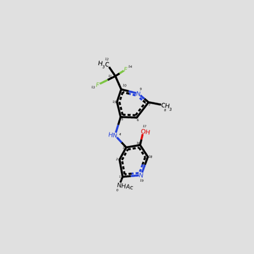 CC(=O)Nc1cc(Nc2cc(C)nc(C(C)(F)F)c2)c(O)cn1